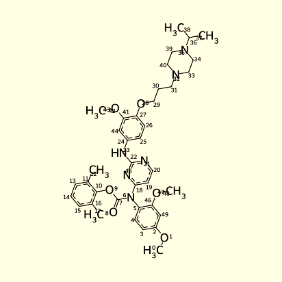 COc1ccc(N(C(=O)Oc2c(C)cccc2C)c2ccnc(Nc3ccc(OCCCN4CCN(C(C)C)CC4)c(OC)c3)n2)c(OC)c1